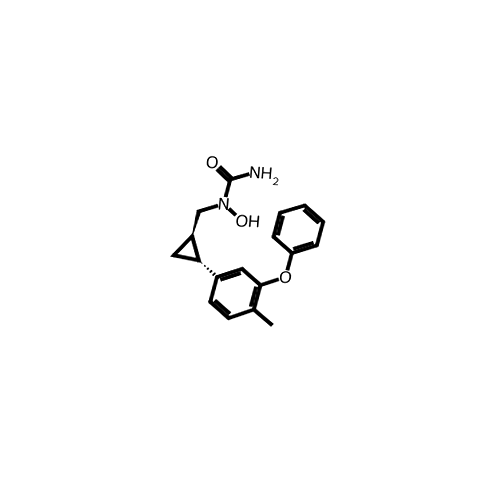 Cc1ccc([C@@H]2C[C@H]2CN(O)C(N)=O)cc1Oc1ccccc1